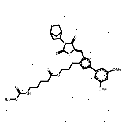 COc1cc(OC)cc(-c2cc(CCCOC(=O)CCCCNC(=O)OC(C)(C)C)c(/C=C3\SC(=S)N(C4CC5CCC4C5)C3=O)o2)c1